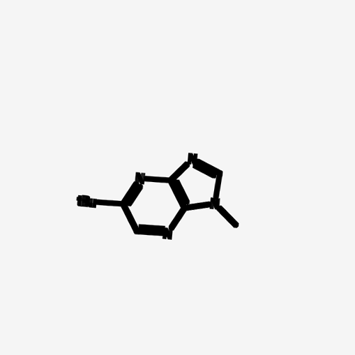 Cn1cnc2nc(C(C)(C)C)cnc21